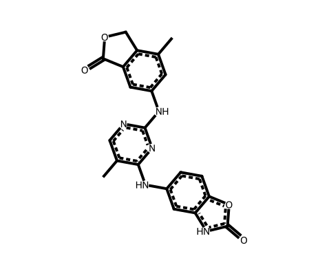 Cc1cnc(Nc2cc(C)c3c(c2)C(=O)OC3)nc1Nc1ccc2oc(=O)[nH]c2c1